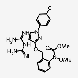 COC(=O)N(OC)c1ccccc1COc1ccn(-c2ccc(Cl)cc2)n1.N=C(N)NC(=N)N